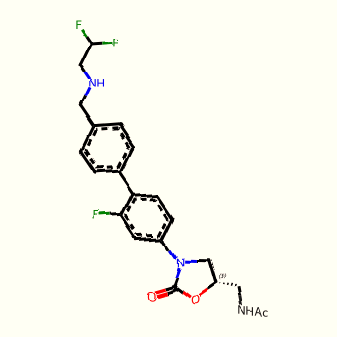 CC(=O)NC[C@H]1CN(c2ccc(-c3ccc(CNCC(F)F)cc3)c(F)c2)C(=O)O1